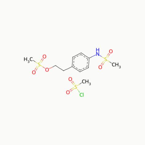 CS(=O)(=O)Cl.CS(=O)(=O)Nc1ccc(CCOS(C)(=O)=O)cc1